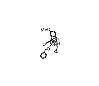 COc1ccc2c(c1)[C@]13CCN(CC4CC4)[C@H](C2)[C@]1(O)CC(OCc1ccccc1)C(=O)C3